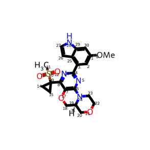 COc1cc(-c2nc3c(c(C4(S(C)(=O)=O)CC4)n2)OC[C@@H]2COCCN32)c2cc[nH]c2c1